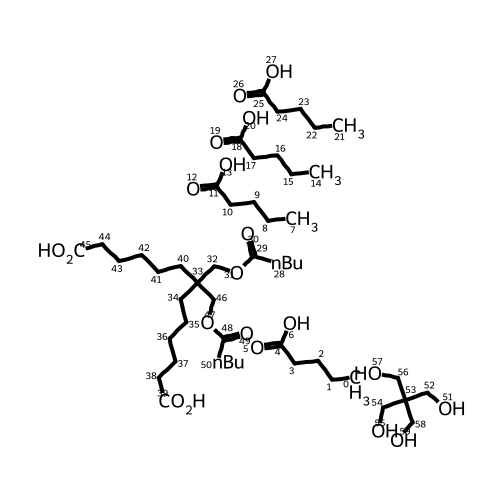 CCCCC(=O)O.CCCCC(=O)O.CCCCC(=O)O.CCCCC(=O)O.CCCCC(=O)OCC(CCCCCC(=O)O)(CCCCCC(=O)O)COC(=O)CCCC.OCC(CO)(CO)CO